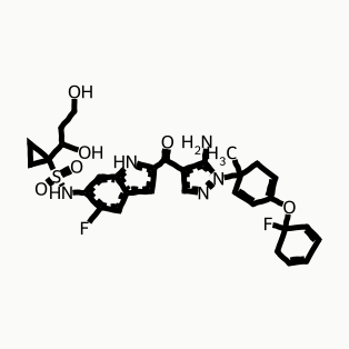 CC1(n2ncc(C(=O)c3cc4cc(F)c(NS(=O)(=O)C5(C(O)CCO)CC5)cc4[nH]3)c2N)C=CC(OC2(F)C=CC=CC2)=CC1